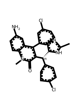 Cc1ncc([C@H](c2ccc(Cl)cc2)c2c(-c3cccc(Cl)c3)c3cc(N)ccc3n(C)c2=O)[nH]1